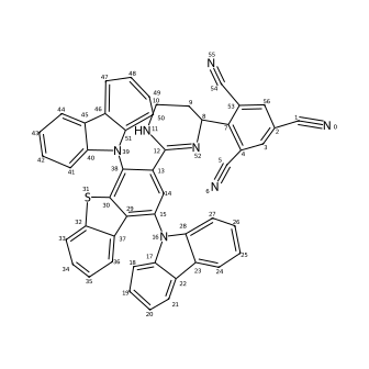 N#Cc1cc(C#N)c(C2CCNC(c3cc(-n4c5ccccc5c5ccccc54)c4c(sc5ccccc54)c3-n3c4ccccc4c4ccccc43)=N2)c(C#N)c1